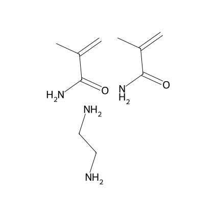 C=C(C)C(N)=O.C=C(C)C(N)=O.NCCN